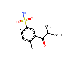 Cc1ccc(S(N)(=O)=O)cc1C(=O)C(C(=O)O)C(=O)O